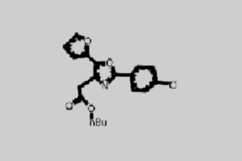 CCCCOC(=O)Cc1nc(-c2ccc(Cl)cc2)oc1-c1ccco1